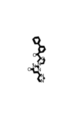 Cn1c(N2CCOC(C(=O)c3cccc(-c4ccccc4)c3)C2)nc(-c2ccncn2)cc1=O